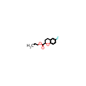 C=CCOC(=O)C1CCc2cc(F)ccc2O1